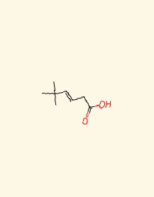 CC(C)(C)/C=C/CC(=O)O